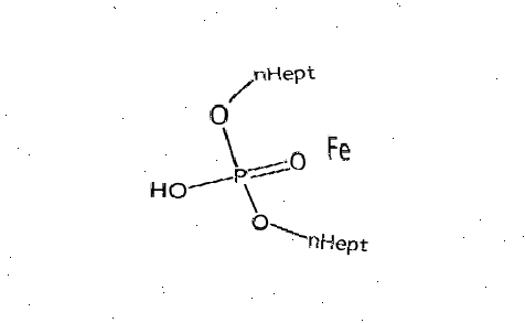 CCCCCCCOP(=O)(O)OCCCCCCC.[Fe]